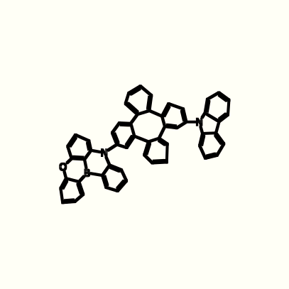 c1ccc2c(c1)Oc1cccc3c1B2c1ccccc1N3c1ccc2c(c1)-c1ccccc1-c1cc(-n3c4ccccc4c4ccccc43)ccc1-c1ccccc1-2